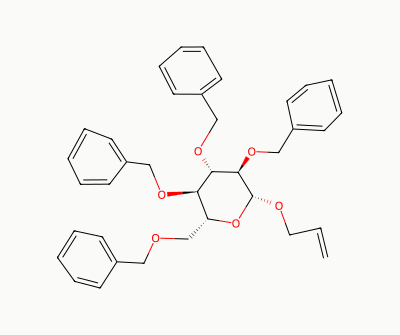 C=CCO[C@@H]1O[C@H](COCc2ccccc2)[C@@H](OCc2ccccc2)[C@H](OCc2ccccc2)[C@H]1OCc1ccccc1